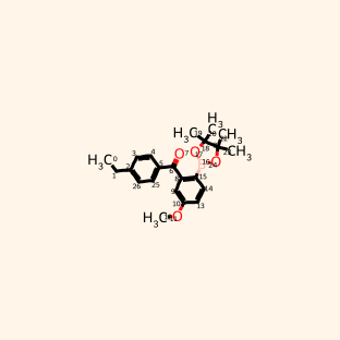 CCc1ccc(C(=O)c2cc(OC)ccc2B2OC(C)(C)C(C)(C)O2)cc1